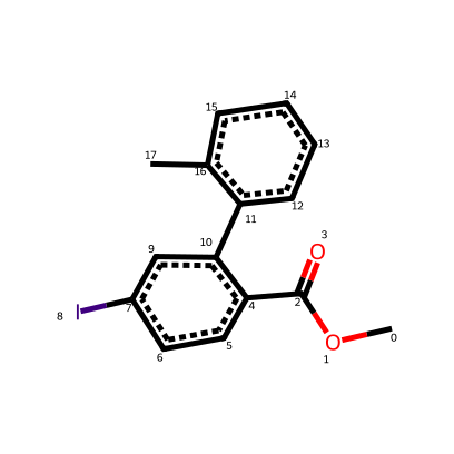 COC(=O)c1ccc(I)cc1-c1ccccc1C